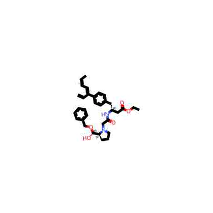 C=C/C(=C\C=C/C)c1ccc(C[C@H](CC(=O)OCC)NC(=O)CN2CCC[C@H]2[C@H](O)OCc2ccccc2)cc1